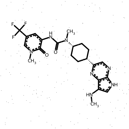 CNc1c[nH]c2ncc([C@H]3CC[C@@H](N(C)C(=O)Nc4cc(C(F)(F)F)cn(C)c4=O)CC3)nc12